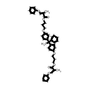 CC(=COc1ccccc1)C(=O)OCCCOc1ccc(C(C)(c2ccccc2)c2ccc(OCCCOC(=O)C(C)=COc3ccccc3)cc2)cc1